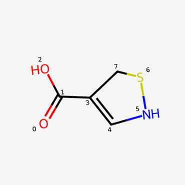 O=C(O)C1=CNSC1